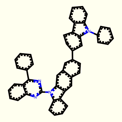 c1ccc(-c2nc(-n3c4ccccc4c4cc5ccc(-c6ccc7c8ccccc8n(-c8ccccc8)c7c6)cc5cc43)nc3ccccc23)cc1